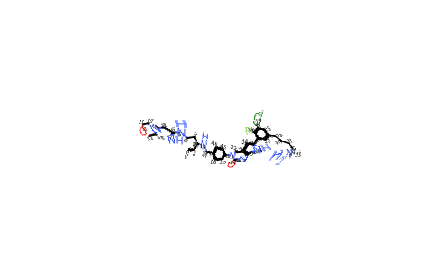 C=C[C@@H](CCNC(=N)CN1CCOCC1)NCc1ccc(-n2cc3cc(-c4cc(CCC[C@H](C)N)cc(Cl)c4F)[nH]c3nc2=O)cc1